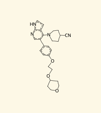 N#CC1CCN(c2c(-c3ccc(OCCOC4CCOCC4)cc3)cnc3[nH]ccc23)CC1